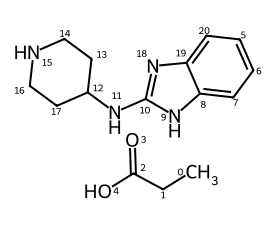 CCC(=O)O.c1ccc2[nH]c(NC3CCNCC3)nc2c1